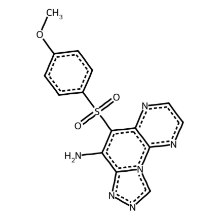 COc1ccc(S(=O)(=O)c2c(N)c3nncn3c3nccnc23)cc1